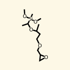 CO[Si](C)(OC)C(C)OC(C)CCOCC1CO1